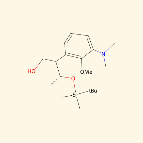 COc1c(C(CO)[C@@H](C)O[Si](C)(C)C(C)(C)C)cccc1N(C)C